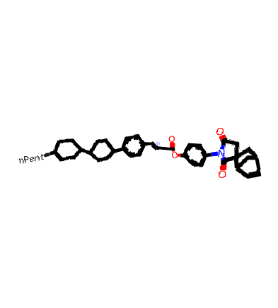 CCCCCC1CCC(C2CCC(c3ccc(/C=C/C(=O)Oc4ccc(N5C(=O)CC6(CC7C=CC6C7)C5=O)cc4)cc3)CC2)CC1